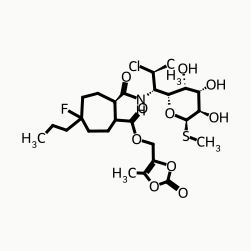 CCCC1(F)CCC(C(=O)OCc2oc(=O)oc2C)[C@H](C(=O)N[C@@H]([C@H]2O[C@H](SC)[C@H](O)[C@@H](O)[C@H]2O)[C@H](C)Cl)CC1